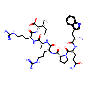 CC[C@H](C)[C@H](NC(=O)[C@H](CCCNC(=N)N)NC(=O)[C@H](C)NC(=O)[C@H](CCCNC(=N)N)NC(=O)[C@@H]1CCCN1C(=O)[C@H](CCC(N)=O)NC(=O)[C@@H](N)Cc1c[nH]c2ccccc12)C(=O)O